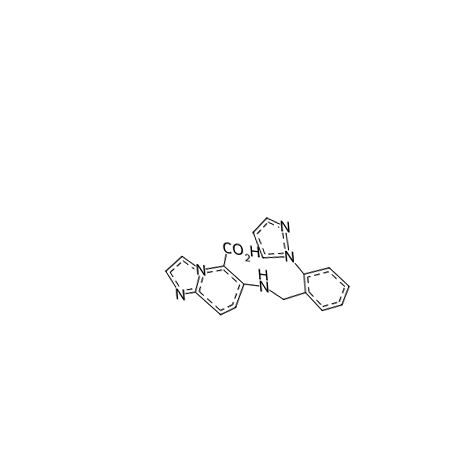 O=C(O)c1c(NCc2ccccc2-n2cccn2)ccc2nccn12